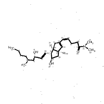 CCCC[C@H](C)C[C@H](O)/C=C/[C@@H]1[C@H]2CC(/C=C\CCC(=O)N(C)C)=C[C@H]2C[C@H]1O